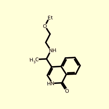 CCOCCNC(C)c1c[nH]c(=O)c2ccccc12